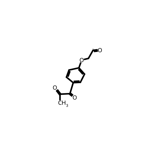 CC(=O)C(=O)c1ccc(OC[C]=O)cc1